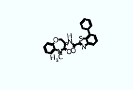 CN1C(=O)[C@@H](NC(=O)c2nc3cccc(C4C=CC=CC4)c3s2)COc2ccccc21